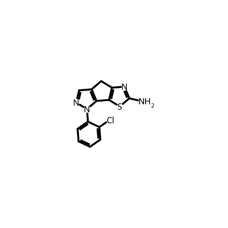 Nc1nc2c(s1)-c1c(cnn1-c1ccccc1Cl)C2